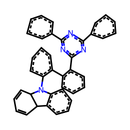 C1=CC2c3ccccc3N(c3ccccc3-c3ccccc3-c3nc(-c4ccccc4)nc(-c4ccccc4)n3)C2C=C1